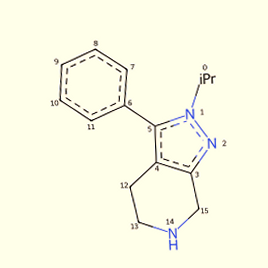 CC(C)n1nc2c(c1-c1ccccc1)CCNC2